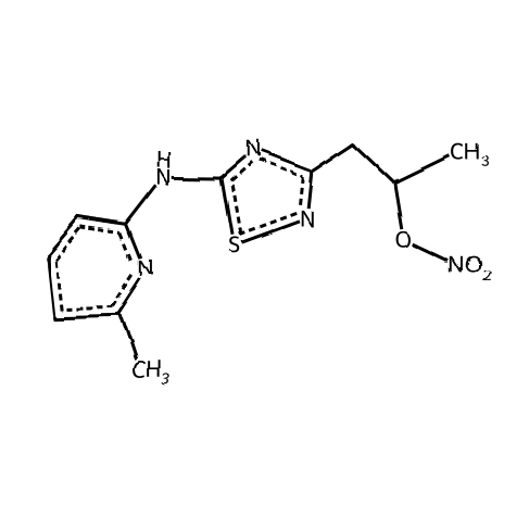 Cc1cccc(Nc2nc(CC(C)O[N+](=O)[O-])ns2)n1